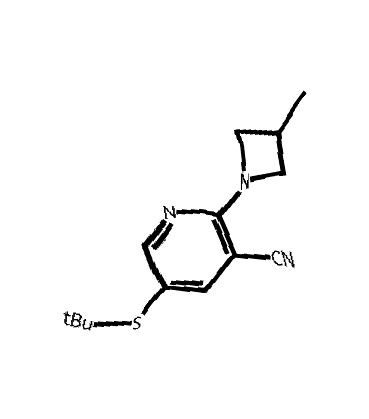 CC1CN(c2ncc(SC(C)(C)C)cc2C#N)C1